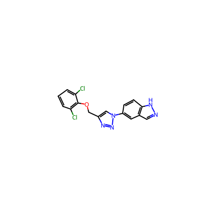 Clc1cccc(Cl)c1OCc1cn(-c2ccc3[nH]ncc3c2)nn1